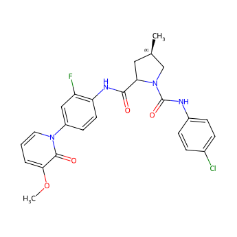 COc1cccn(-c2ccc(NC(=O)C3C[C@@H](C)CN3C(=O)Nc3ccc(Cl)cc3)c(F)c2)c1=O